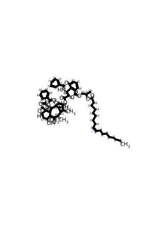 CCCCCCCC/C=C\CCCCCCCC1OCC(COC(=O)O[C@H](C(=O)O[C@H]2C[C@@]3(O)[C@@H](OC(=O)c4ccccc4)[C@H]4[C@]5(OC(C)=O)CO[C@H]5C[C@H](O)[C@@]4(C)C(=O)[C@H](C)C(=C2C)C3(C)C)[C@@H](NC(=O)c2ccccc2)c2ccccc2)O1